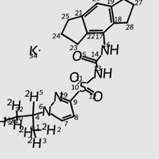 [2H]C([2H])([2H])C([2H])(n1ccc(S(=O)(=O)NC(=O)Nc2c3c(cc4c2CCC4)CCC3)n1)C([2H])([2H])[2H].[K]